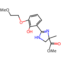 COCCOc1cccc(C2=NC(C)(C(=O)OC)CN2)c1O